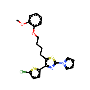 COc1ccccc1OCCCCc1sc(-n2cccc2)nc1-c1ccc(Cl)s1